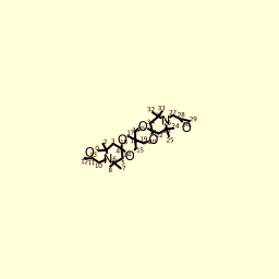 CC1(C)CC2(CC(C)(C)N1CC1CO1)OCC1(CO2)COC2(CC(C)(C)N(CC3CO3)C(C)(C)C2)OC1